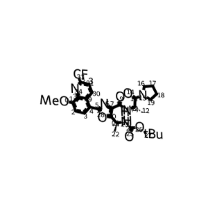 COc1ccc(-c2nc(C(=O)N[C@@H](C)C(=O)N3CCCC3)c([C@H](C)NC(=O)OC(C)(C)C)o2)c2ccc(C(F)(F)F)nc12